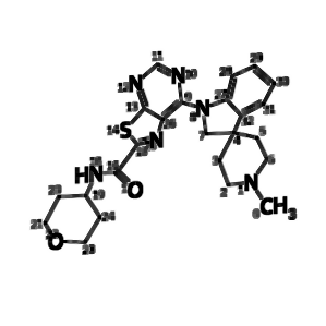 CN1CCC2(CC1)CN(c1ncnc3sc(C(=O)NC4CCOCC4)nc13)c1ccccc12